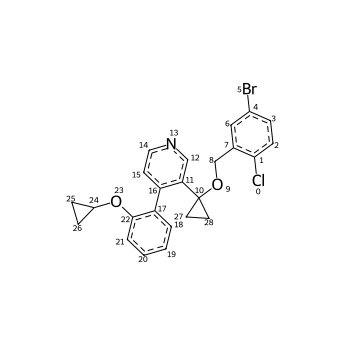 Clc1ccc(Br)cc1COC1(c2cnccc2-c2ccccc2OC2CC2)CC1